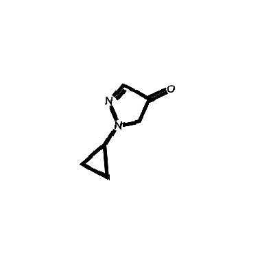 O=C1C=NN(C2CC2)C1